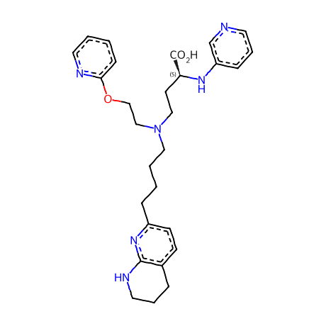 O=C(O)[C@H](CCN(CCCCc1ccc2c(n1)NCCC2)CCOc1ccccn1)Nc1cccnc1